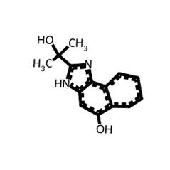 CC(C)(O)c1nc2c(cc(O)c3ccccc32)[nH]1